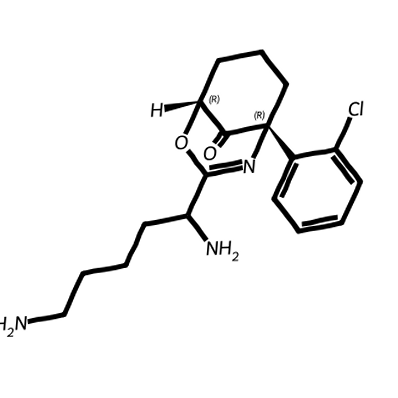 NCCCCC(N)C1=N[C@@]2(c3ccccc3Cl)CCC[C@@H](O1)C2=O